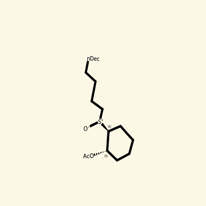 CCCCCCCCCCCCCC[S+]([O-])[C@H]1CCCC[C@@H]1OC(C)=O